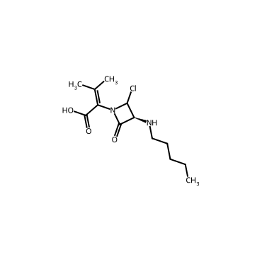 CCCCCN[C@H]1C(=O)N(C(C(=O)O)=C(C)C)C1Cl